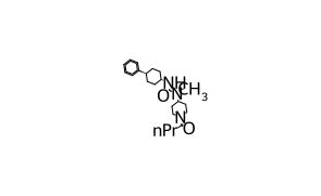 CCCC(=O)N1CCC(N(C)C(=O)N[C@H]2CC[C@H](c3ccccc3)CC2)CC1